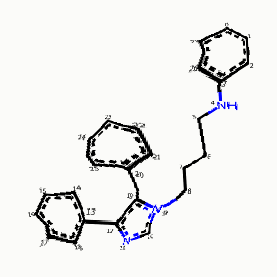 c1ccc(NCCCCn2cnc(-c3ccccc3)c2-c2ccccc2)cc1